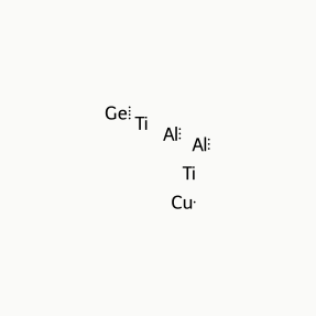 [Al].[Al].[Cu].[Ge].[Ti].[Ti]